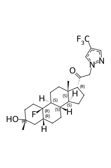 C[C@@]1(O)CC[C@@]2(F)[C@H](CC[C@H]3[C@@H]4CC[C@@H](C(=O)Cn5cc(C(F)(F)F)cn5)[C@@]4(C)CC[C@@H]32)C1